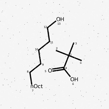 CC(C)(C)C(=O)O.CCCCCCCCCCCCCO